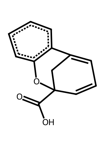 O=C(O)C12C=CC=C(C1)c1ccccc1O2